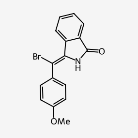 COc1ccc(/C(Br)=C2\NC(=O)c3ccccc32)cc1